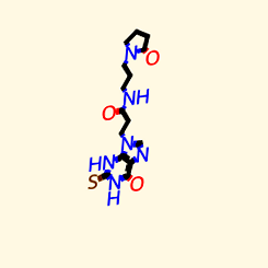 O=C(CCn1cnc2c(=O)[nH]c(=S)[nH]c21)NCCCN1CCCC1=O